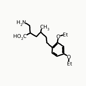 CCOc1ccc(CCC(C)CC(CN)C(=O)O)c(OCC)c1